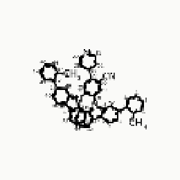 Cc1ccccc1-c1ccc2c3ccccc3n(-c3cc(C#N)c(-c4ccncc4)cc3-n3c4ccccc4c4ccc(-c5ccccc5C)cc43)c2c1